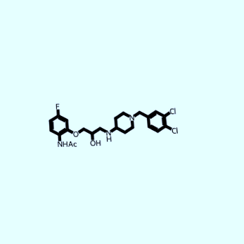 CC(=O)Nc1ccc(F)cc1OCC(O)CNC1CCN(Cc2ccc(Cl)c(Cl)c2)CC1